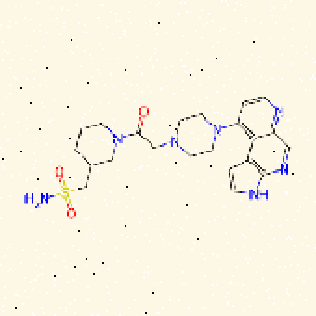 NS(=O)(=O)CC1CCCN(C(=O)CN2CCN(c3ccnc4cnc5[nH]ccc5c34)CC2)C1